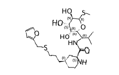 CS[C@H]1O[C@H]([C@H](NC(=O)[C@@H]2C[C@H](CCCSCc3ccco3)CCN2)C(C)C)[C@H](O)[C@H](O)[C@H]1O